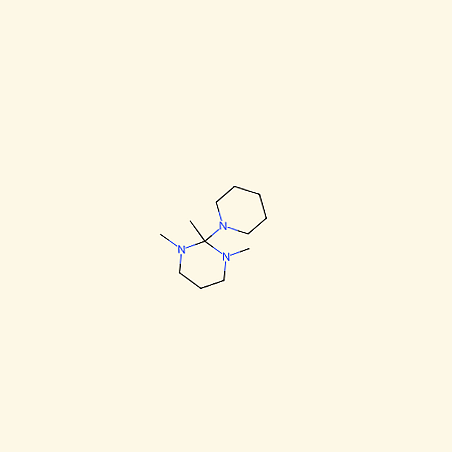 CN1CCCN(C)C1(C)N1CCCCC1